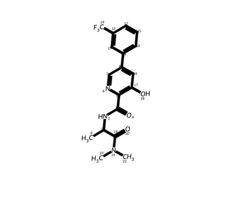 CC(NC(=O)c1ncc(-c2cccc(C(F)(F)F)c2)cc1O)C(=O)N(C)C